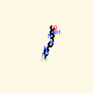 CCc1cc2ncc(CN3CC=C(c4cn5cc(C(F)F)nc5cn4)CC3)cc2[nH]c1=O